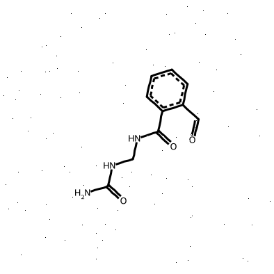 NC(=O)NCNC(=O)c1ccccc1C=O